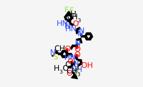 Cc1ncsc1-c1ccc(CNC(=O)C2CC(O)CN2C(=O)[C@@H](NC(=O)C2(F)CC2)C(C)(C)C)c(OCCC(=O)N2CC([C@@H](c3ccccc3)n3cc(NC(=O)c4n[nH]c5c4C[C@@H]4C(F)(F)[C@]4(C)C5)cn3)C2)c1